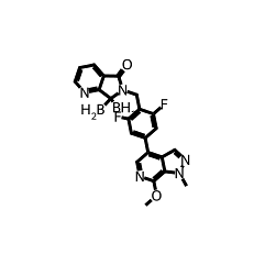 BC1(B)c2ncccc2C(=O)N1Cc1c(F)cc(-c2cnc(OC)c3c2cnn3C)cc1F